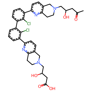 CC(=O)CC(O)CN1CCc2nc(-c3cccc(-c4cccc(-c5ccc6c(n5)CCN(CC(O)CC(=O)O)C6)c4Cl)c3Cl)ccc2C1